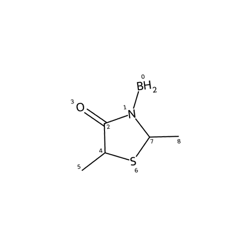 BN1C(=O)C(C)SC1C